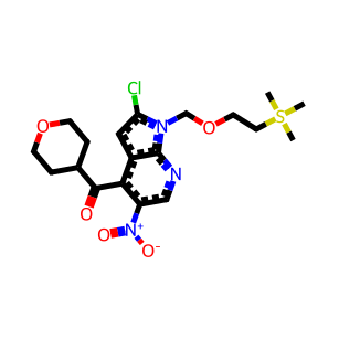 CS(C)(C)CCOCn1c(Cl)cc2c(C(=O)C3CCOCC3)c([N+](=O)[O-])cnc21